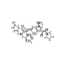 CC1CN(Cc2ccc(F)cc2)[C@@H](C)CN1C(=O)c1cc2c(C(=O)C(=O)N3CCCC3)cn(N)c2cc1Cl